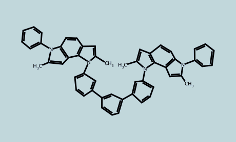 Cc1cc2c(ccc3cc(C)n(-c4cccc(-c5cccc(-c6cccc(-n7c(C)cc8ccc9c(cc(C)n9-c9ccccc9)c87)c6)c5)c4)c32)n1-c1ccccc1